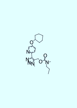 CCCN(C)C(=O)OCc1c(-c2ccc(OC3CCCCC3)cn2)nnn1C